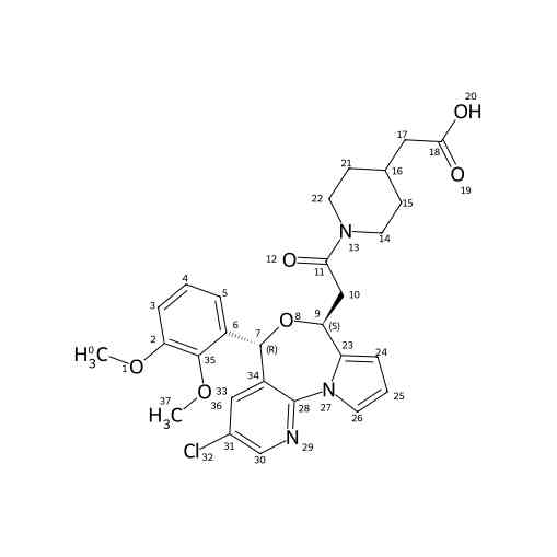 COc1cccc([C@@H]2O[C@@H](CC(=O)N3CCC(CC(=O)O)CC3)c3cccn3-c3ncc(Cl)cc32)c1OC